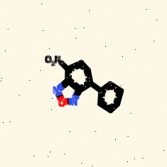 O=[N+]([O-])c1ccc(-c2ccccc2)c2nonc12